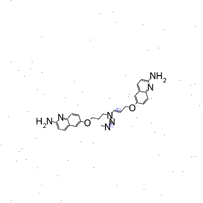 C/N=N\N(/C=C/COc1ccc2nc(N)ccc2c1)CCCOc1ccc2nc(N)ccc2c1